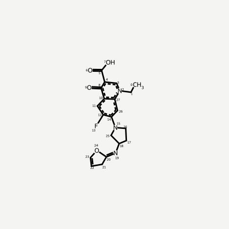 CCn1cc(C(=O)O)c(=O)c2cc(F)c(N3CCC(N=C4CC=CO4)C3)cc21